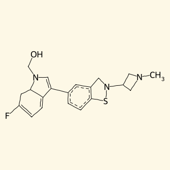 CN1CC(N2Cc3cc(C4=CN(CO)C5CC(F)=CC=C45)ccc3S2)C1